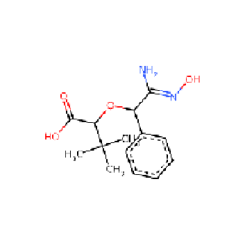 CC(C)(C)C(OC(C(N)=NO)c1ccccc1)C(=O)O